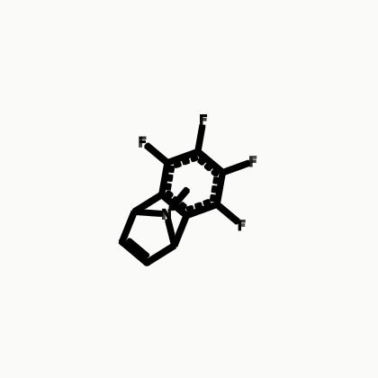 CN1C2C=CC1c1c(F)c(F)c(F)c(F)c12